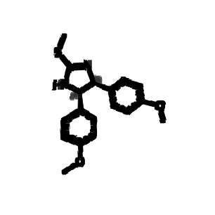 COc1ccc([C@H]2NC(SC)=N[C@H]2c2ccc(OC)cc2)cc1